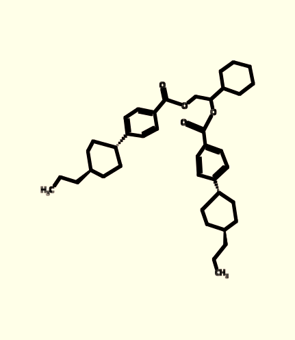 CCC[C@H]1CC[C@H](c2ccc(C(=O)OCC(OC(=O)c3ccc([C@H]4CC[C@H](CCC)CC4)cc3)C3CCCCC3)cc2)CC1